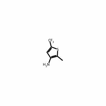 Cc1sc(C(F)(F)F)cc1N